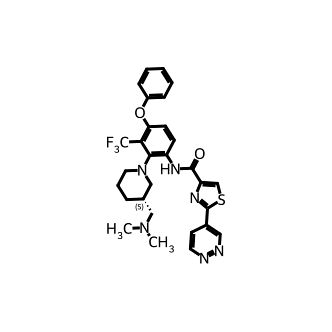 CN(C)C[C@@H]1CCCN(c2c(NC(=O)c3csc(-c4ccnnc4)n3)ccc(Oc3ccccc3)c2C(F)(F)F)C1